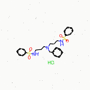 Cl.O=S(=O)(NCCCN(CCCNS(=O)(=O)c1ccccc1)Cc1ccccc1)c1ccccc1